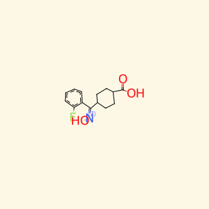 O=C(O)C1CCC(/C(=N/O)c2ccccc2F)CC1